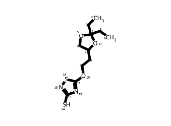 CCC1(CC)OCC(CCOc2nc(S)ns2)O1